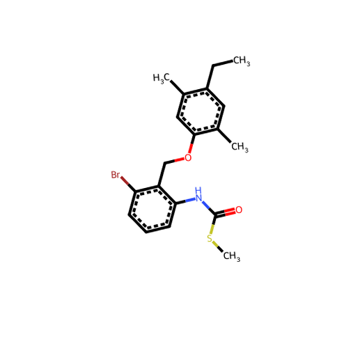 CCc1cc(C)c(OCc2c(Br)cccc2NC(=O)SC)cc1C